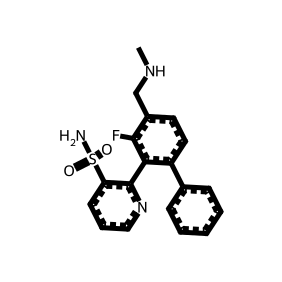 CNCc1ccc(-c2ccccc2)c(-c2ncccc2S(N)(=O)=O)c1F